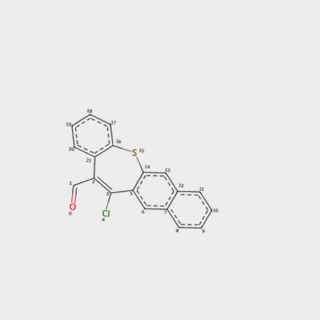 O=CC1=C(Cl)c2cc3ccccc3cc2Sc2ccccc21